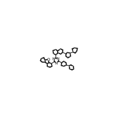 c1ccc(-c2ccc(-c3nc(-c4cccc5ccc(-c6cccc(-c7ccccc7)c6)cc45)nc(-c4cccc5c4oc4ccccc45)n3)cc2)cc1